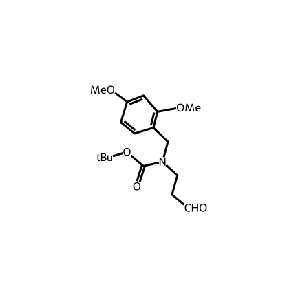 COc1ccc(CN(CCC=O)C(=O)OC(C)(C)C)c(OC)c1